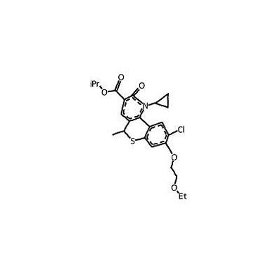 CCOCCOc1cc2c(cc1Cl)-c1c(cc(C(=O)OC(C)C)c(=O)n1C1CC1)C(C)S2